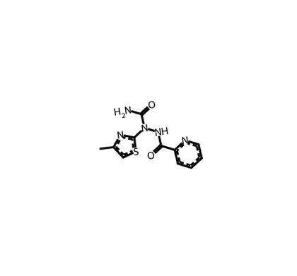 Cc1csc(N(NC(=O)c2ccccn2)C(N)=O)n1